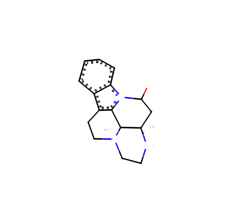 OC1C[C@H]2NCCN3CCc4c(n1c1ccccc41)[C@@H]23